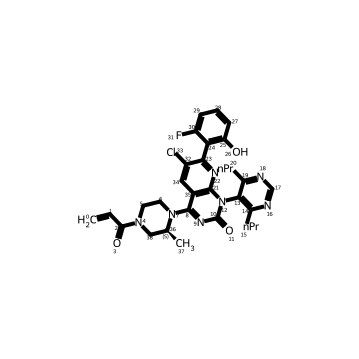 C=CC(=O)N1CCN(c2nc(=O)n(-c3c(CCC)ncnc3CCC)c3nc(-c4c(O)cccc4F)c(Cl)cc23)[C@@H](C)C1